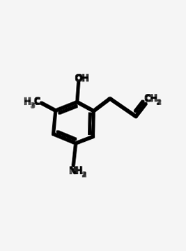 C=CCc1cc(N)cc(C)c1O